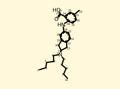 CCCCCN(CCCCC)C1Cc2ccc(Nc3ccc(C)cc3C(=O)O)cc2C1